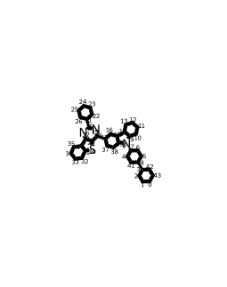 c1ccc(-c2ccc(-n3c4ccccc4c4cc(-c5nc(-c6ccccc6)nc6c5sc5ccccc56)ccc43)cc2)cc1